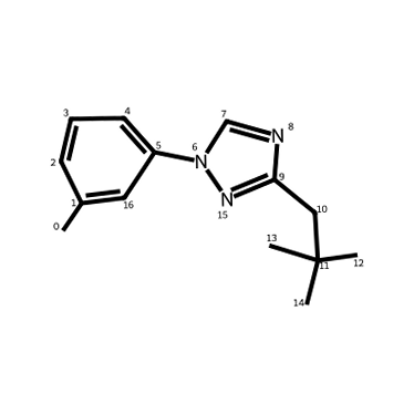 Cc1cccc(-n2cnc(CC(C)(C)C)n2)c1